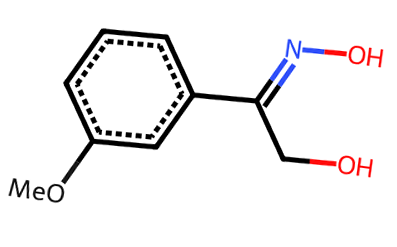 COc1cccc(C(CO)=NO)c1